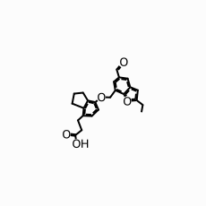 CCc1cc2cc(C=O)cc(COc3ccc(CCC(=O)O)c4c3CCC4)c2o1